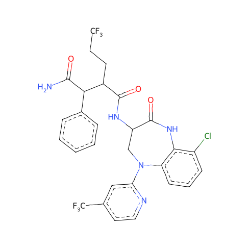 NC(=O)C(c1ccccc1)C(CCC(F)(F)F)C(=O)NC1CN(c2cc(C(F)(F)F)ccn2)c2cccc(Cl)c2NC1=O